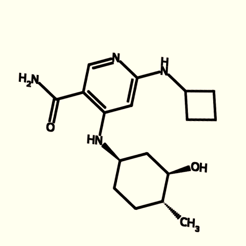 C[C@@H]1CC[C@@H](Nc2cc(NC3CCC3)ncc2C(N)=O)C[C@H]1O